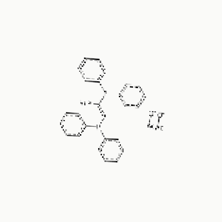 CC(=O)[O-].CC(=O)[O-].[Ru+2][C](=CP(c1ccccc1)c1ccccc1)P(c1ccccc1)c1ccccc1